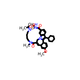 COC1=CC2C=C3Cn4c(c(C5CCCCC5)c5ccc(cc54)C(=O)NS(=O)(=O)N(C(C)C)CCCCN(C)C3=O)C2C=C1